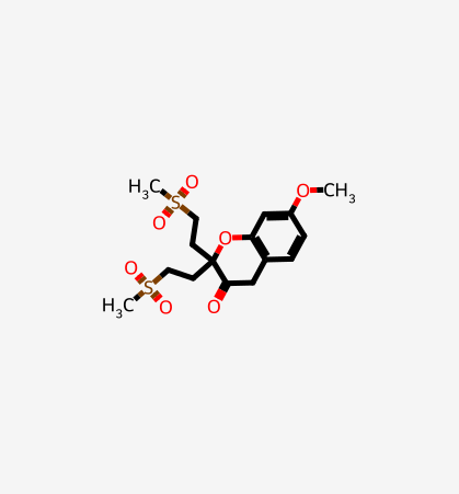 COc1ccc2c(c1)OC(CCS(C)(=O)=O)(CCS(C)(=O)=O)C(=O)C2